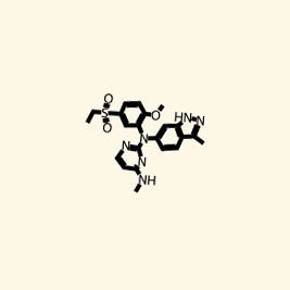 CCS(=O)(=O)c1ccc(OC)c(N(c2ccc3c(C)n[nH]c3c2)c2nccc(NC)n2)c1